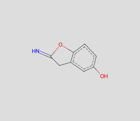 N=C1Cc2cc(O)ccc2O1